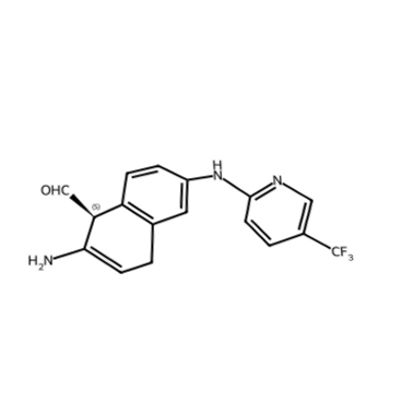 NC1=CCc2cc(Nc3ccc(C(F)(F)F)cn3)ccc2[C@@H]1C=O